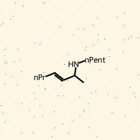 CCCC=CC(C)NCCCCC